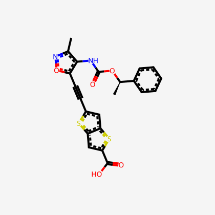 Cc1noc(C#Cc2cc3sc(C(=O)O)cc3s2)c1NC(=O)O[C@H](C)c1ccccc1